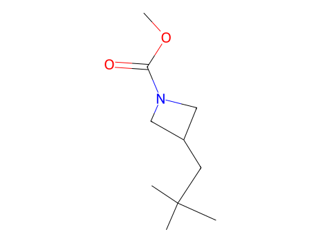 COC(=O)N1CC(CC(C)(C)C)C1